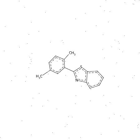 Cc1ccc(C)c(-c2nc3ccccc3s2)c1